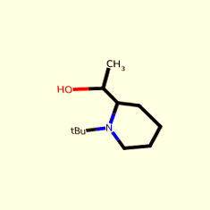 CC(O)C1CCCCN1C(C)(C)C